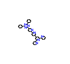 c1ccc(-c2nc(-c3ccccc3)nc(-c3ccc(-c4ccc(-c5cc(-c6ccccn6)nc(-c6ccccn6)c5)cn4)nc3)n2)cc1